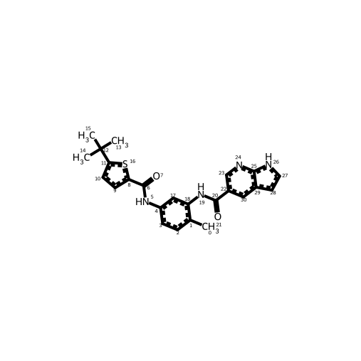 Cc1ccc(NC(=O)c2ccc(C(C)(C)C)s2)cc1NC(=O)c1cnc2[nH]ccc2c1